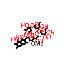 CO[C@H](C(=O)[C@@H](O)[C@@H](C)O)[C@@H]1Cc2cc3cc(C)c(C)c(O)c3c(O)c2C(=O)[C@H]1O[C@H]1C[C@@H](O[C@H]2C[C@@H](O[C@H]3C[C@@H](O)[C@H](O)C(C)O3)[C@@H](O)C(C)O2)[C@H](O)C(C)O1